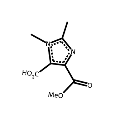 COC(=O)c1nc(C)n(C)c1C(=O)O